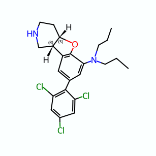 CCCN(CCC)c1cc(-c2c(Cl)cc(Cl)cc2Cl)cc2c1O[C@H]1CCNC[C@@H]21